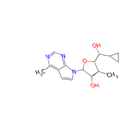 Cc1ncnc2c1ccn2C1OC(C(O)C2CC2)C(C)C1O